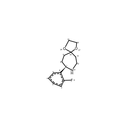 Fc1ccccc1[C@H]1CCC2(CCN1)OCCO2